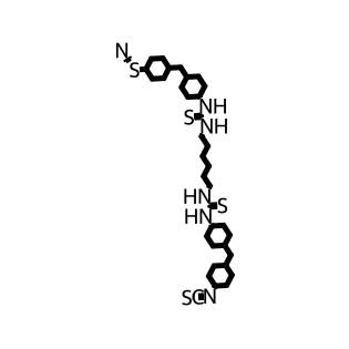 N#CSC1CCC(CC2CCC(NC(=S)NCCCCCCNC(=S)NC3CCC(CC4CCC(N=C=S)CC4)CC3)CC2)CC1